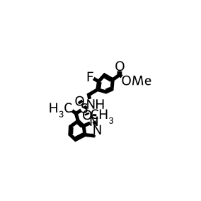 COC(=O)c1ccc(CNS(=O)(=O)C(C)c2cccc3cnn(C)c23)c(F)c1